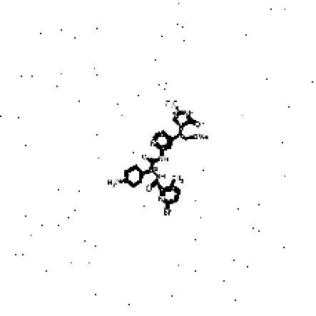 COCC(c1ccnc(NC(=O)[C@@H](NC(=O)c2nc(Br)ccc2C)C2CCC(C)CC2)c1)N1C[C@@H](C(F)(F)F)NC1=O